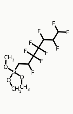 CO[Si](CC(F)C(F)(F)C(F)(F)C(F)C(F)C(F)F)(OC)OC